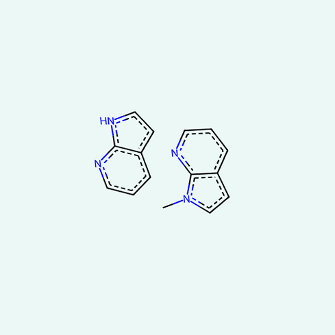 Cn1ccc2cccnc21.c1cnc2[nH]ccc2c1